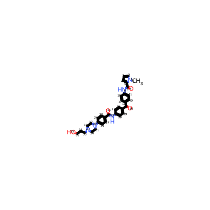 Cn1cccc1C(=O)Nc1ccc(C(=O)c2ccc(NC(=O)c3ccc(N4CCN(CCCO)CC4)cc3)cc2)cc1